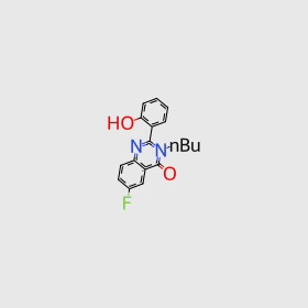 CCCCn1c(-c2ccccc2O)nc2ccc(F)cc2c1=O